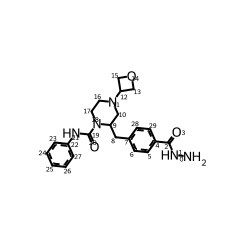 NNC(=O)c1ccc(CC2CN(C3COC3)CCN2C(=O)Nc2ccccc2)cc1